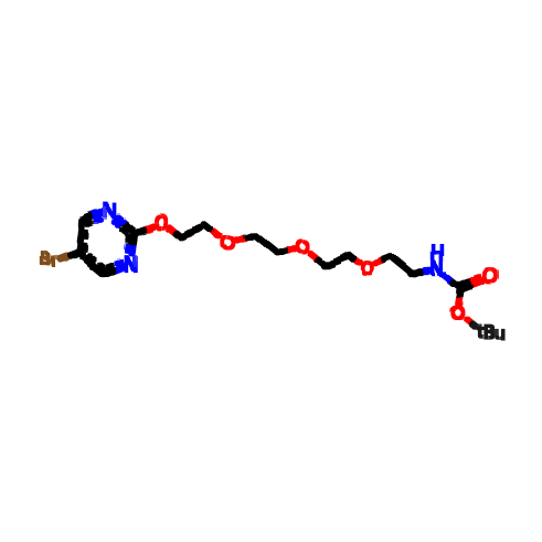 CC(C)(C)OC(=O)NCCOCCOCCOCCOc1ncc(Br)cn1